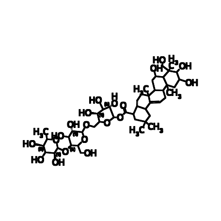 CC1OC(O[C@@H]2C(CO)OC(OCC3OC(OC(=O)C4CC(C)(C)CC5C6=CCC7C(CC(O)C8C(C)(CO)C(O)C(O)CC78C)C6(C)CCC45)[C@@H](O)C(O)[C@@H]3O)[C@@H](O)C2O)[C@@H](O)C(O)[C@H]1O